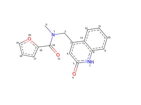 CN(Cc1cc(=O)[nH]c2ccccc12)C(=O)c1ccco1